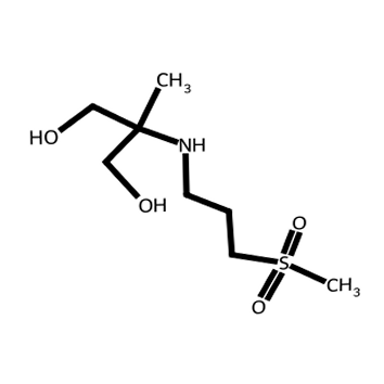 CC(CO)(CO)NCCCS(C)(=O)=O